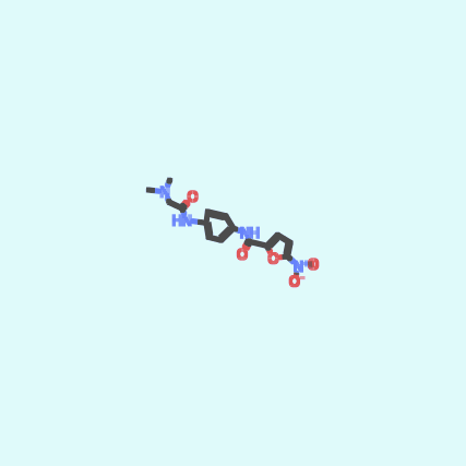 CN(C)CC(=O)Nc1ccc(NC(=O)c2ccc([N+](=O)[O-])o2)cc1